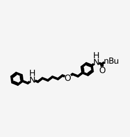 CCCCC(=O)Nc1ccc(CCOCCCCCCNCc2ccccc2)cc1